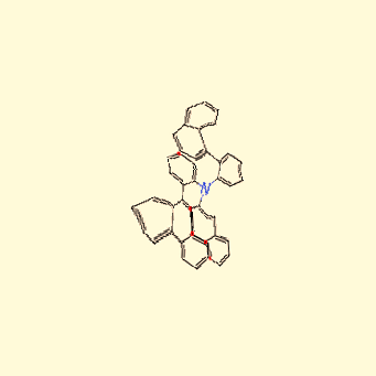 c1ccc(N(c2ccc3ccccc3c2)c2ccccc2-c2cc3ccccc3c3ccccc23)c(-c2cccc3ccccc23)c1